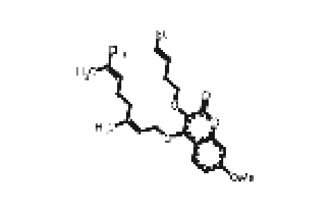 CCC=CCCOc1c(OCC=C(C)CCC=C(C)C)c2ccc(OC)cc2oc1=O